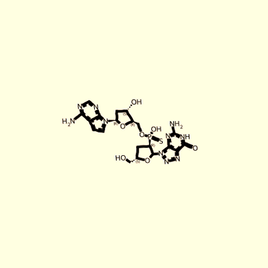 Nc1nc2c(nnn2C2O[C@H](CO)C[C@H]2P(O)(=S)OC[C@H]2O[C@@H](n3ccc4c(N)ncnc43)C[C@@H]2O)c(=O)[nH]1